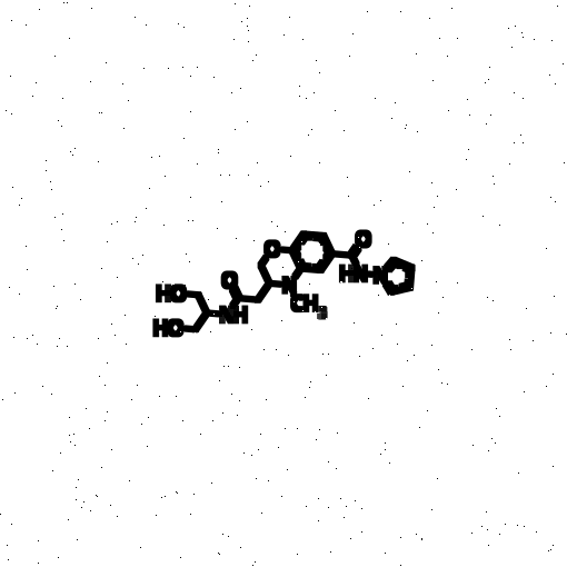 CN1c2cc(C(=O)Nn3cccc3)ccc2OCC1CC(=O)NC(CO)CO